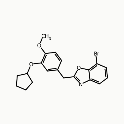 COc1ccc(Cc2nc3cccc(Br)c3o2)cc1OC1CCCC1